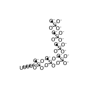 [O-][Si]([O-])([O-])[O-].[O-][Si]([O-])([O-])[O-].[O-][Si]([O-])([O-])[O-].[O-][Si]([O-])([O-])[O-].[O-][Si]([O-])([O-])[O-].[O-][Si]([O-])([O-])[O-].[U+6].[U+6].[U+6].[U+6]